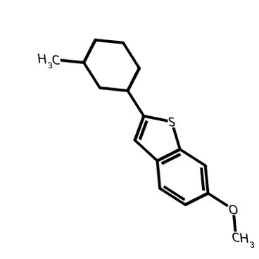 COc1ccc2cc(C3CCCC(C)C3)sc2c1